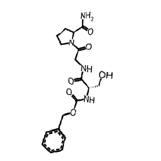 NC(=O)C1CCCN1C(=O)CNC(=O)[C@H](CO)NC(=O)OCc1ccccc1